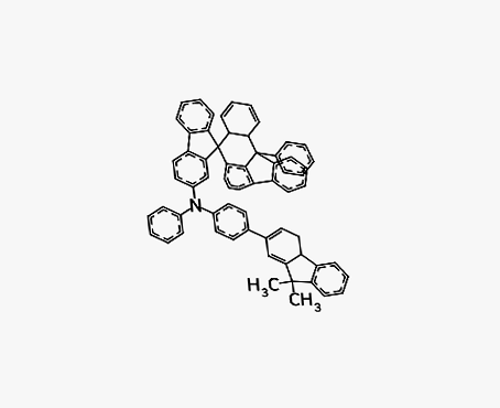 CC1(C)C2=CC(c3ccc(N(c4ccccc4)c4ccc5c(c4)C4(c6ccccc6-5)c5cccc6c5C(c5ccccc5)(c5ccccc5-6)C5C=CC=CC54)cc3)=CCC2c2ccccc21